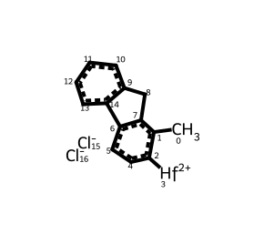 Cc1[c]([Hf+2])ccc2c1Cc1ccccc1-2.[Cl-].[Cl-]